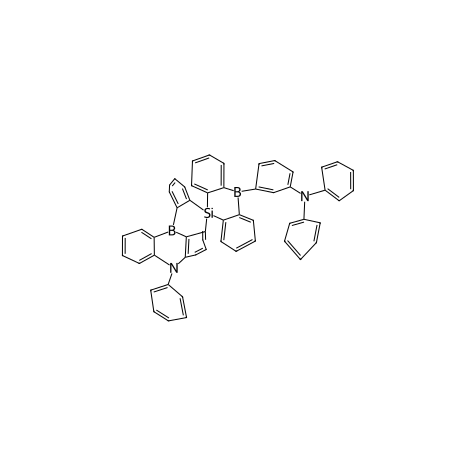 c1ccc(N(c2ccccc2)c2cccc(B3c4ccccc4[Si]4(c5ccccc53)c3ccccc3B3c5ccccc5N(c5ccccc5)c5cccc4c53)c2)cc1